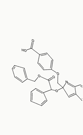 O=C(O)c1ccc(OCC2(OC(C(=O)OCc3ccccc3)c3ccccc3)C=c3ccccc3=N2)cc1